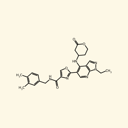 CCn1ncc2c(NC3CCOC(=O)C3)c(-c3nc(C(=O)NCc4ccc(C)c(C)c4)co3)cnc21